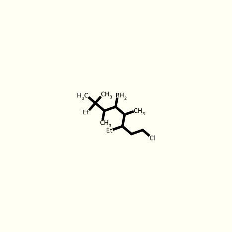 BC(C(C)C(CC)CCCl)C(C)C(C)(C)CC